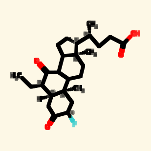 CC[C@H]1C(=O)C2C3CC[C@H]([C@H](C)CCC(=O)O)[C@@]3(C)CCC2[C@@]2(C)C[C@@H](F)C(=O)C[C@@H]12